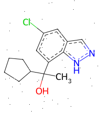 CC(O)(c1cc(Cl)cc2cn[nH]c12)C1CCCC1